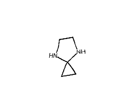 C1CNC2(CC2)N1